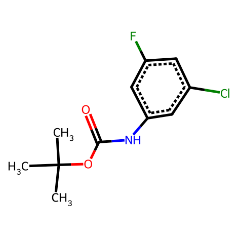 CC(C)(C)OC(=O)Nc1cc(F)cc(Cl)c1